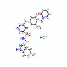 Cl.N#Cc1cc(Cc2cncc(C(=O)NCc3n[nH]c4ccc(Cl)cc34)c2)ccc1Cn1ccccc1=O